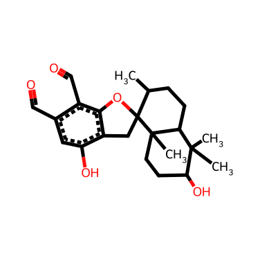 CC1CCC2C(C)(C)C(O)CCC2(C)C12Cc1c(O)cc(C=O)c(C=O)c1O2